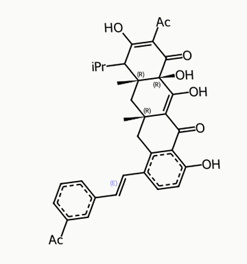 CC(=O)C1=C(O)C(C(C)C)[C@@]2(C)C[C@@]3(C)Cc4c(/C=C/c5cccc(C(C)=O)c5)ccc(O)c4C(=O)C3=C(O)[C@@]2(O)C1=O